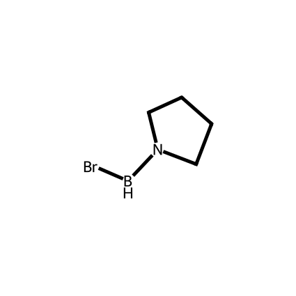 BrBN1CCCC1